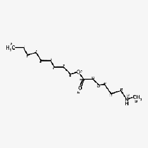 CCCCCCCCCOC(=O)CCCCCNC